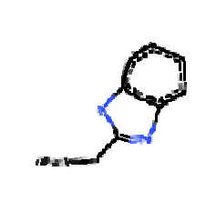 CCCCCCC1=Nc2ccccc2[N]1